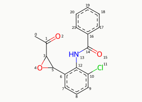 CC(=O)C1OC1c1cccc(Cl)c1NC(=O)c1ccccc1